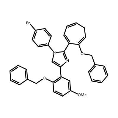 COc1ccc(OCc2ccccc2)c(-c2cn(-c3ccc(Br)cc3)c(C3=CC=CCC=C3OCc3ccccc3)n2)c1